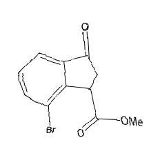 COC(=O)C1CC(=O)c2cccc(Br)c21